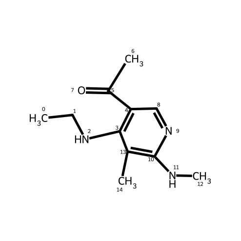 CCNc1c(C(C)=O)cnc(NC)c1C